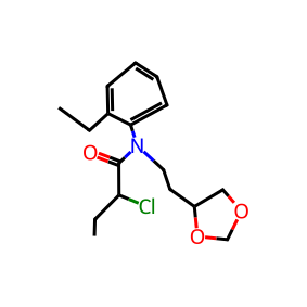 CCc1ccccc1N(CCC1COCO1)C(=O)C(Cl)CC